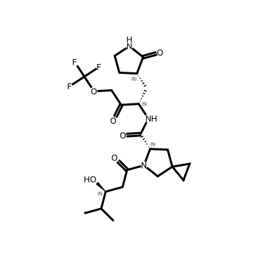 CC(C)[C@@H](O)CC(=O)N1CC2(CC2)C[C@H]1C(=O)N[C@@H](C[C@@H]1CCNC1=O)C(=O)COC(F)(F)F